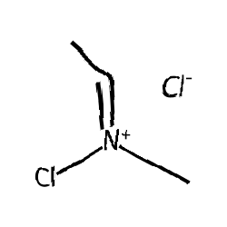 CC=[N+](C)Cl.[Cl-]